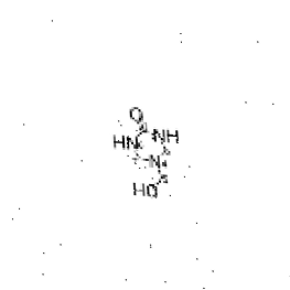 O=C1NCN(CO)CN1